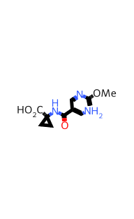 C=C(/N=C\C(=C/N)C(=O)NC1(C(=O)O)CC1)OC